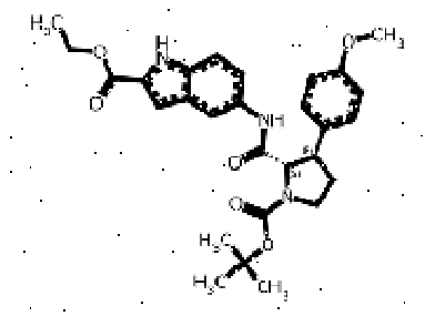 CCOC(=O)c1cc2cc(NC(=O)[C@@H]3[C@@H](c4ccc(OC)cc4)CCN3C(=O)OC(C)(C)C)ccc2[nH]1